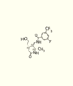 C[C@@H]1NC(=O)C[C@H](CCO)[C@H]1CNC(=O)c1cc(F)cc(C(F)(F)F)c1